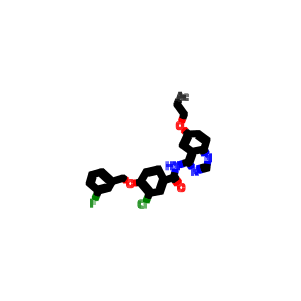 CC(=O)CCOc1ccc2ncnc(NC(=O)c3ccc(OCc4cccc(F)c4)c(Cl)c3)c2c1